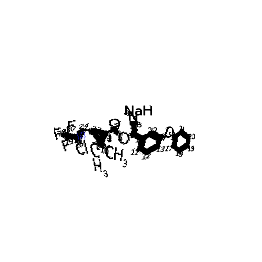 CC1(C)[C@H](C(=O)OC(C#N)c2cccc(Oc3ccccc3)c2)[C@@H]1/C=C(\Cl)C(F)(F)F.[NaH]